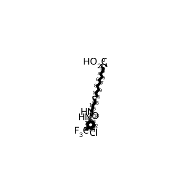 O=C(O)CSCCCCCCCCCSCCCNC(=O)Nc1ccc(Cl)c(C(F)(F)F)c1